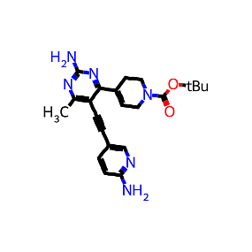 Cc1nc(N)nc(C2=CCN(C(=O)OC(C)(C)C)CC2)c1C#Cc1ccc(N)nc1